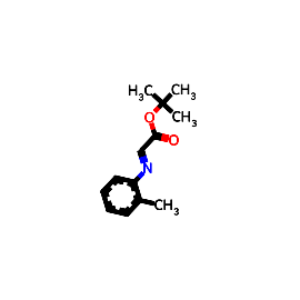 Cc1ccccc1N=CC(=O)OC(C)(C)C